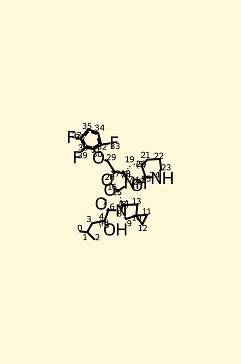 CC(C)C[C@@H](O)C(=O)N1CC2(CC2)C[C@H]1C(=O)N[C@@H](C[C@@H]1CCCNC1=O)C(=O)COc1c(F)ccc(F)c1F